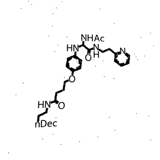 CCCCCCCCCCCCNC(=O)CCCOc1ccc(NC(NC(C)=O)C(=O)NCCc2ccccn2)cc1